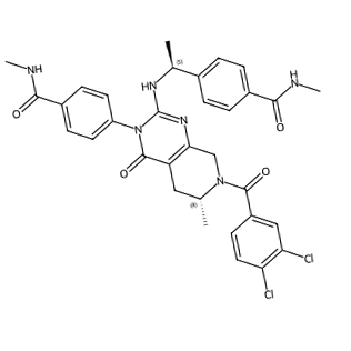 CNC(=O)c1ccc([C@H](C)Nc2nc3c(c(=O)n2-c2ccc(C(=O)NC)cc2)C[C@@H](C)N(C(=O)c2ccc(Cl)c(Cl)c2)C3)cc1